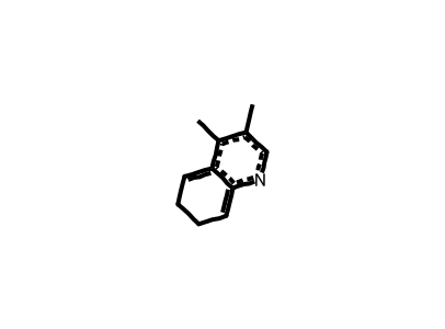 Cc1cnc2c(c1C)=CCCC=2